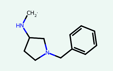 [CH2]NC1CCN(Cc2ccccc2)C1